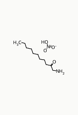 CCCCCCCCCC(=O)CN.O=[N+]([O-])O